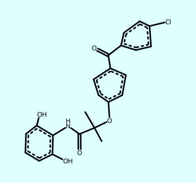 CC(C)(Oc1ccc(C(=O)c2ccc(Cl)cc2)cc1)C(=O)Nc1c(O)cccc1O